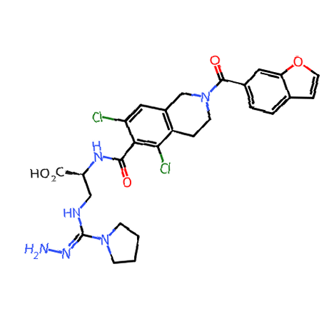 N/N=C(\NC[C@H](NC(=O)c1c(Cl)cc2c(c1Cl)CCN(C(=O)c1ccc3ccoc3c1)C2)C(=O)O)N1CCCC1